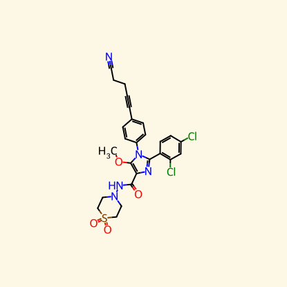 COc1c(C(=O)NN2CCS(=O)(=O)CC2)nc(-c2ccc(Cl)cc2Cl)n1-c1ccc(C#CCCC#N)cc1